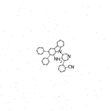 N#Cc1ccccc1-c1cncc(-n2c3ccccc3c3cc(-c4ccccc4)c(-c4ccccc4)c(N)c32)c1